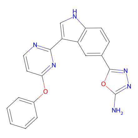 Nc1nnc(-c2ccc3[nH]cc(-c4nccc(Oc5ccccc5)n4)c3c2)o1